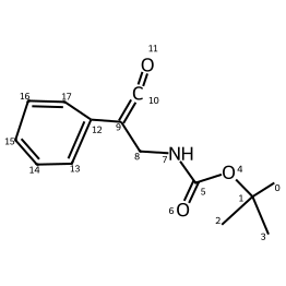 CC(C)(C)OC(=O)NCC(=C=O)c1ccccc1